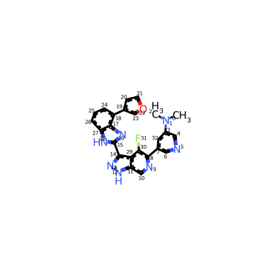 CN(C)c1cncc(-c2ncc3[nH]nc(-c4nc5c(-c6ccoc6)cccc5[nH]4)c3c2F)c1